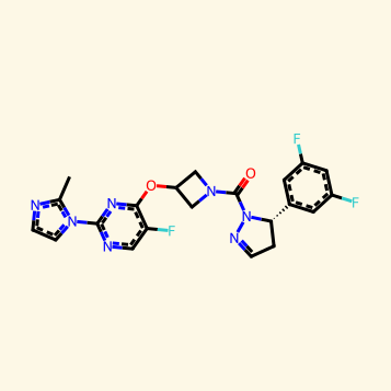 Cc1nccn1-c1ncc(F)c(OC2CN(C(=O)N3N=CC[C@H]3c3cc(F)cc(F)c3)C2)n1